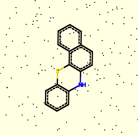 c1ccc2c(c1)Nc1ccc3ccccc3c1S2